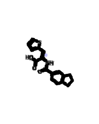 O=C(O)/C(=C\c1cccs1)NC(=O)c1ccc2c(c1)CCC2